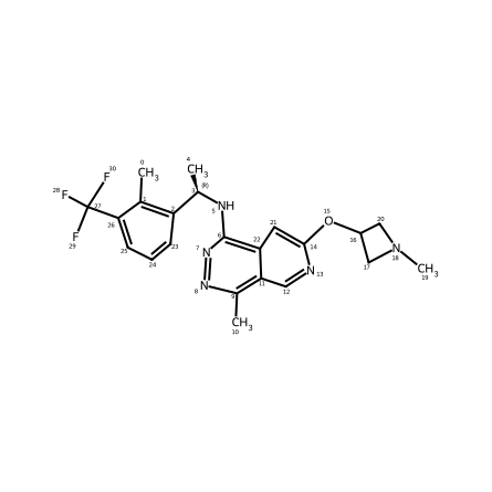 Cc1c([C@@H](C)Nc2nnc(C)c3cnc(OC4CN(C)C4)cc23)cccc1C(F)(F)F